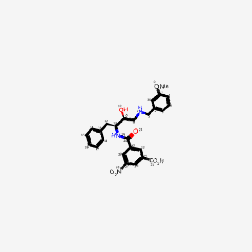 COc1cccc(CNC[C@H](O)[C@H](Cc2ccccc2)NC(=O)c2cc(C(=O)O)cc([N+](=O)[O-])c2)c1